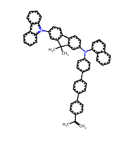 C=C(C)c1ccc(-c2ccc(-c3ccc(N(c4ccc5c(c4)C(C)(C)c4cc(-n6c7ccccc7c7ccccc76)ccc4-5)c4cccc5ccccc45)cc3)cc2)cc1